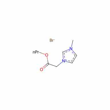 CCCOC(=O)C[n+]1ccn(C)c1.[Br-]